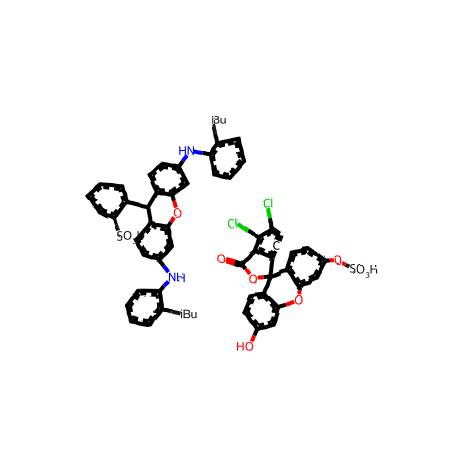 CCC(C)c1ccccc1Nc1ccc2c(c1)Oc1cc(Nc3ccccc3C(C)CC)ccc1C2c1ccccc1S(=O)(=O)O.O=C1OC2(c3ccc(O)cc3Oc3cc(OS(=O)(=O)O)ccc32)c2ccc(Cl)c(Cl)c21